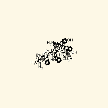 CC[C@H](C)[C@H](NC(=O)[C@@H](NC(=O)[C@H](Cc1ccc(O)cc1)NC(=O)[C@H](Cc1ccc(O)cc1)NC(=O)[C@H](CC(N)=O)NC(=O)[C@H](Cc1c[nH]c2ccccc12)NC(=O)[C@@H](NC(=O)[C@H](Cc1ccccc1)N(C)C(=O)[C@@H](NC(=O)[C@H](C)N)C(C)C)C(C)C)[C@@H](C)CC)C(=O)O